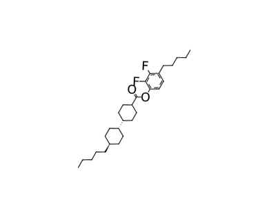 CCCCCc1ccc(OC(=O)C2CCC([C@H]3CC[C@H](CCCCC)CC3)CC2)c(F)c1F